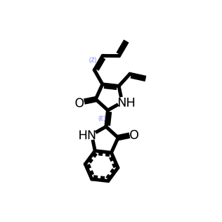 C=C/C=C\C1=C(C=C)N/C(=C2/Nc3ccccc3C2=O)C1=O